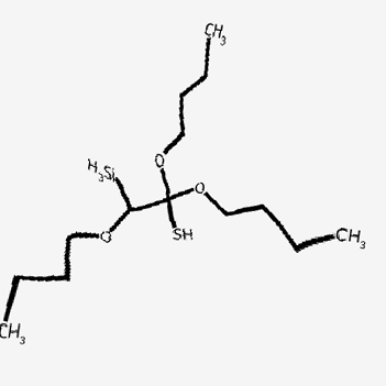 CCCCOC([SiH3])C(S)(OCCCC)OCCCC